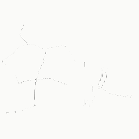 CC1CCC(C)(CC(F)(F)F)N1CC(F)(F)F.O=[PH](O)O